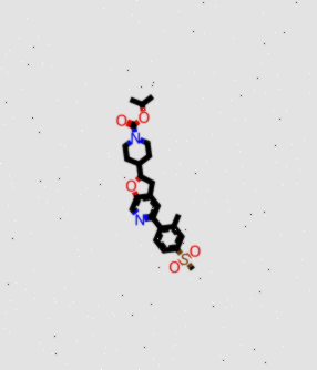 Cc1cc(S(C)(=O)=O)ccc1-c1cc2c(cn1)OC(C1CCN(C(=O)OC(C)C)CC1)C2